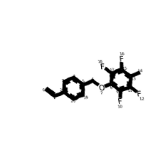 C=Cc1ccc(COc2c(F)c(F)c(C)c(F)c2F)cc1